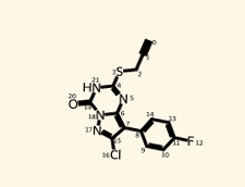 C#CCSc1nc2c(-c3ccc(F)cc3)c(Cl)nn2c(=O)[nH]1